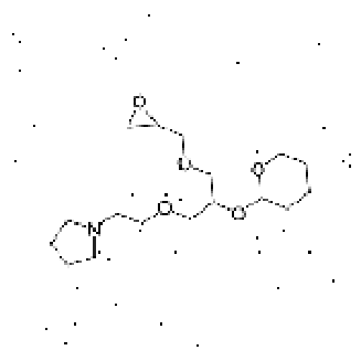 C1CCC(OC(COCCN2CCCC2)COCC2CO2)OC1